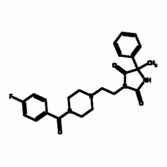 CC1(c2ccccc2)NC(=O)N(CCN2CCN(C(=O)c3ccc(F)cc3)CC2)C1=O